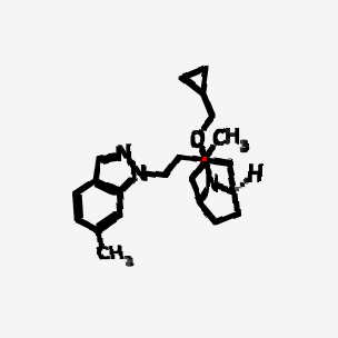 Cc1ccc2cnn(CCC(C)N3C4CC[C@@H]3CC(OCC3CC3)C4)c2c1